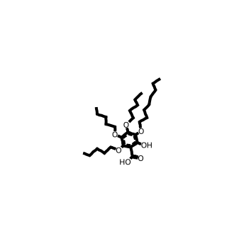 CCCCCCCCOc1c(O)c(C(=O)O)c(OCCCCC)c(OCCCCC)c1OCCCCC